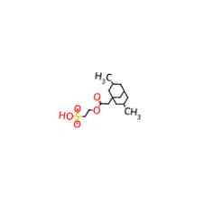 CC1CC2CC(C)CC(CC(=O)OCCS(=O)(=O)O)(C1)C2